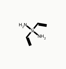 C=C[Si](N)(N)C=C